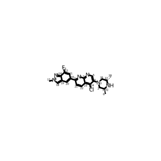 C[C@H]1CN(c2cnc3nc(-c4cc(F)c5nn(C)cc5c4)ccc3c2Cl)C[C@H](C)N1